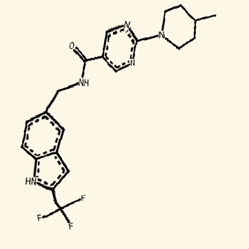 CC1CCN(c2ncc(C(=O)NCc3ccc4[nH]c(C(F)(F)F)cc4c3)cn2)CC1